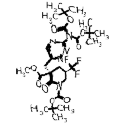 COC(=O)[C@@]1(Cc2cnc(N(C(=O)OC(C)(C)C)C(=O)OC(C)(C)C)nn2)C[C@@H](C(F)(F)F)CN(C(=O)OC(C)(C)C)C1=O